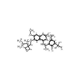 COc1cc2nc(C)nc(N[C@H](C)c3cc(N)cc(C(F)(F)F)c3F)c2cc1OCC1([C@@H](C)N(C)C)COC1